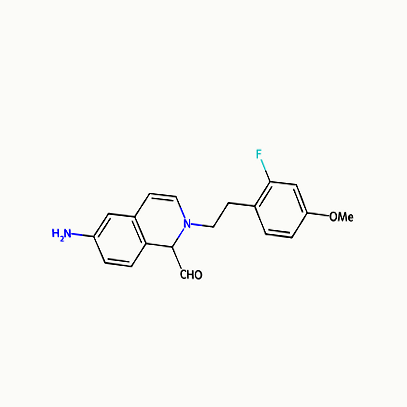 COc1ccc(CCN2C=Cc3cc(N)ccc3C2C=O)c(F)c1